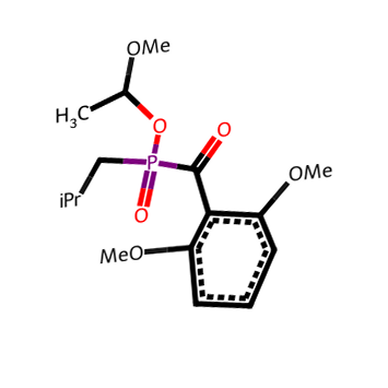 COc1cccc(OC)c1C(=O)P(=O)(CC(C)C)OC(C)OC